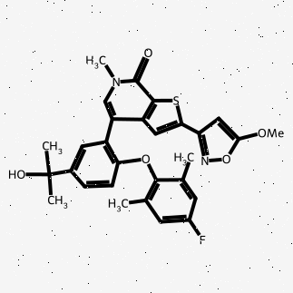 COc1cc(-c2cc3c(-c4cc(C(C)(C)O)ccc4Oc4c(C)cc(F)cc4C)cn(C)c(=O)c3s2)no1